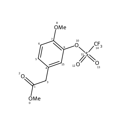 COC(=O)Cc1ccc(OC)c(OS(=O)(=O)C(F)(F)F)c1